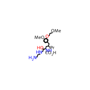 COCCCOc1cc(CC(CC(NC(=O)O)[C@@H](O)CNCCCN)C(C)C)ccc1OC